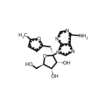 Cc1ccc(C[C@@]2(n3cnc4c(N)ncnc43)O[C@H](CO)[C@@H](O)[C@H]2O)o1